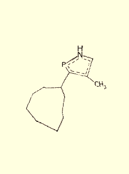 Cc1c[nH]pc1C1CCCCCCC1